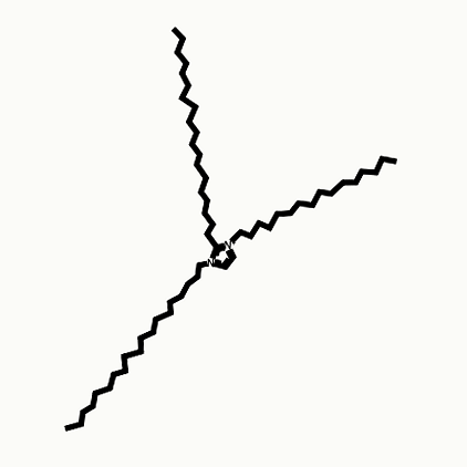 CCCCCCCCCCCCCCCCCCCc1n(CCCCCCCCCCCCCCCCCCC)cc[n+]1CCCCCCCCCCCCCCCC